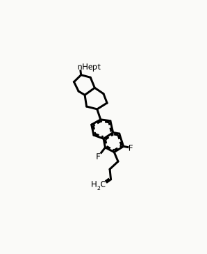 C=CCCc1c(F)cc2cc(C3CCC4CC(CCCCCCC)CCC4C3)ccc2c1F